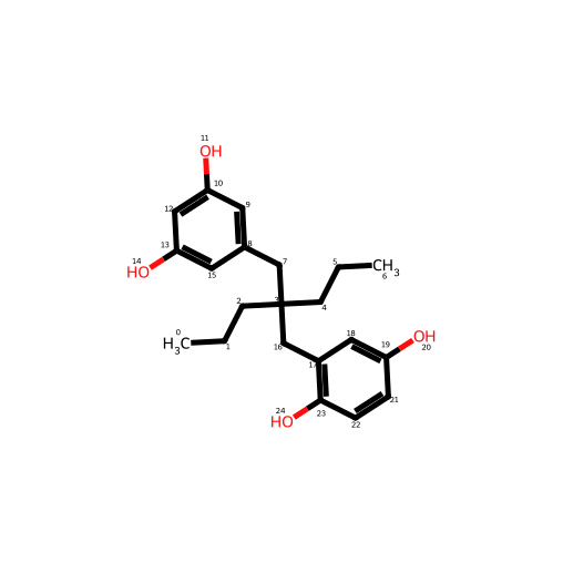 CCCC(CCC)(Cc1cc(O)cc(O)c1)Cc1cc(O)ccc1O